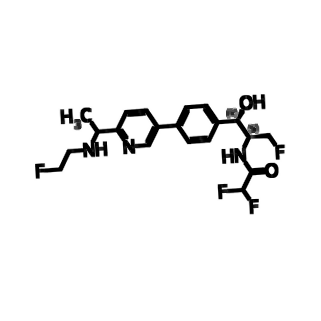 CC(NCCF)c1ccc(-c2ccc([C@@H](O)[C@@H](CF)NC(=O)C(F)F)cc2)cn1